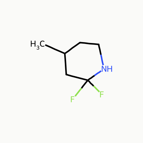 CC1CCNC(F)(F)C1